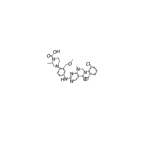 COCc1cc(Nc2ncc3c(n2)N(C)CN(c2c(Cl)cccc2Cl)C3=O)ccc1N1CCN(C(=O)O)C(C)C1